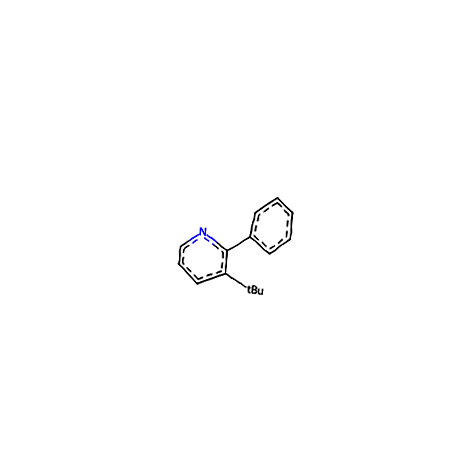 CC(C)(C)c1cccnc1-c1ccccc1